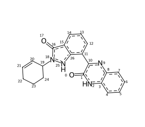 O=c1[nH]c2ccccc2nc1-c1cccc2c(=O)n(C3C=CCCC3)[nH]c12